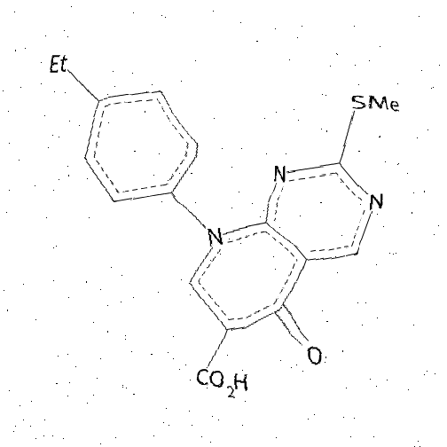 CCc1ccc(-n2cc(C(=O)O)c(=O)c3cnc(SC)nc32)cc1